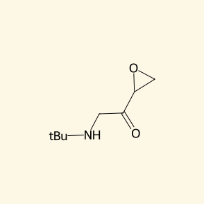 CC(C)(C)NCC(=O)C1CO1